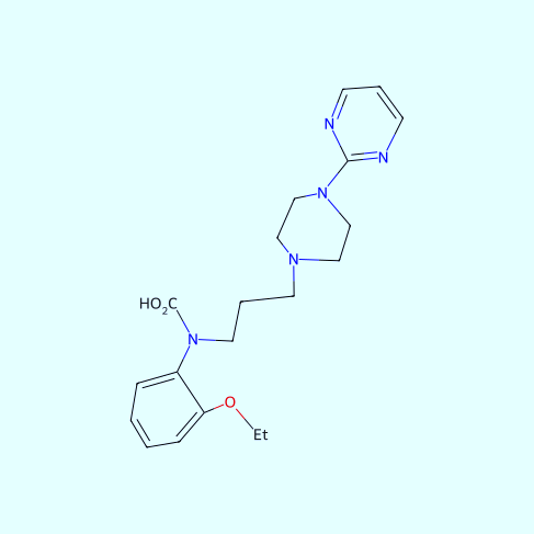 CCOc1ccccc1N(CCCN1CCN(c2ncccn2)CC1)C(=O)O